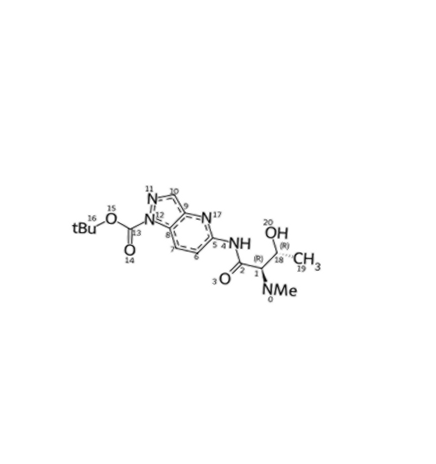 CN[C@@H](C(=O)Nc1ccc2c(cnn2C(=O)OC(C)(C)C)n1)[C@@H](C)O